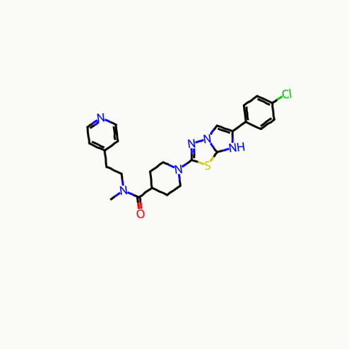 CN(CCc1ccncc1)C(=O)C1CCN(C2=NN3C=C(c4ccc(Cl)cc4)NC3S2)CC1